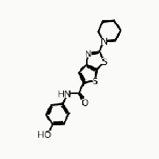 O=C(Nc1ccc(O)cc1)c1cc2nc(N3CCCCC3)sc2s1